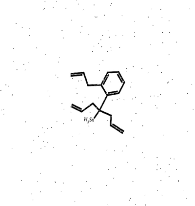 C=CCc1ccccc1[C]([SnH3])(CC=C)CC=C